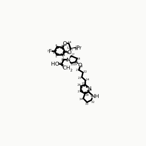 C=C(O)[C@H](c1cc(F)cc2c1O[C@H](C(C)C)CO2)N1CC[C@@H](OCCCCc2ccc3c(n2)NCCC3)C1